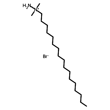 CCCCCCCCCCCCCCCCC[N+](C)(C)N.[Br-]